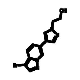 OCCn1cc(-c2ccc3c(Br)cnn3c2)cn1